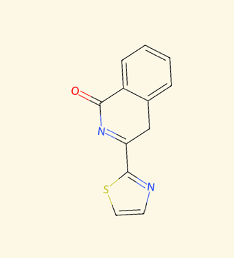 O=C1N=C(c2nccs2)Cc2ccccc21